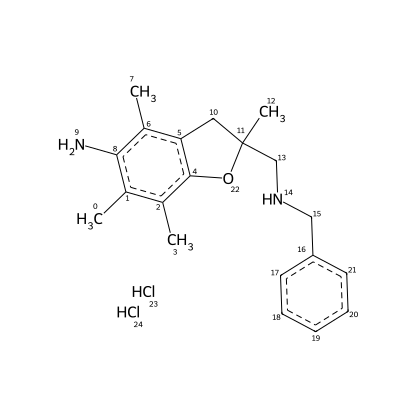 Cc1c(C)c2c(c(C)c1N)CC(C)(CNCc1ccccc1)O2.Cl.Cl